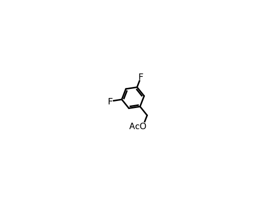 CC(=O)OCc1cc(F)cc(F)c1